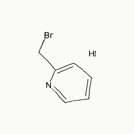 BrCc1ccccn1.I